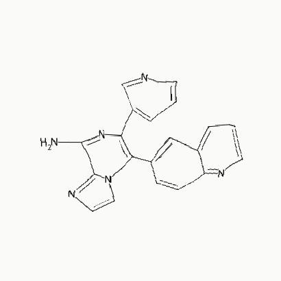 Nc1nc(-c2cccnc2)c(-c2ccc3ncccc3c2)n2ccnc12